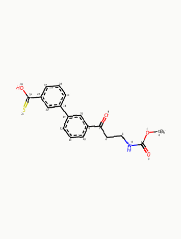 CC(C)(C)OC(=O)NCCC(=O)c1cccc(-c2cccc(C(O)=S)c2)c1